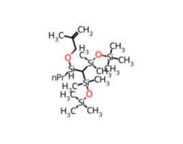 C=C(C)CO[SiH](CCC)C([Si](C)(C)O[Si](C)(C)C)[Si](C)(C)O[Si](C)(C)C